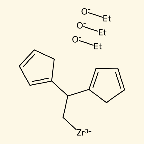 CC[O-].CC[O-].CC[O-].[Zr+3][CH2]C(C1=CC=CC1)C1=CC=CC1